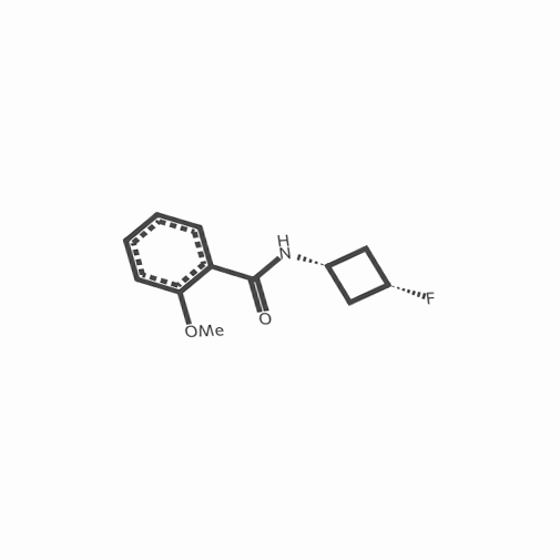 COc1ccccc1C(=O)N[C@H]1C[C@@H](F)C1